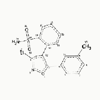 CCc1noc(-c2cccc(C)c2)c1-c1ccccc1S(N)(=O)=O